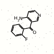 Nc1ccncc1C(=O)c1ccccc1F